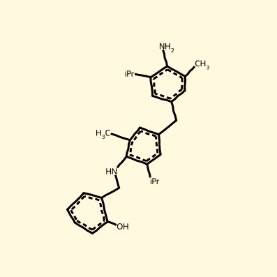 Cc1cc(Cc2cc(C)c(NCc3ccccc3O)c(C(C)C)c2)cc(C(C)C)c1N